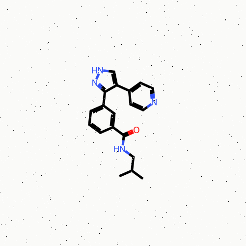 CC(C)CNC(=O)c1cccc(-c2n[nH]cc2-c2ccncc2)c1